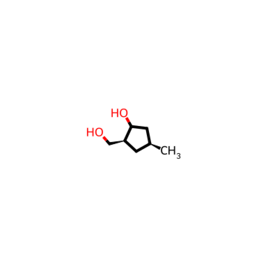 C[C@@H]1CC(O)[C@H](CO)C1